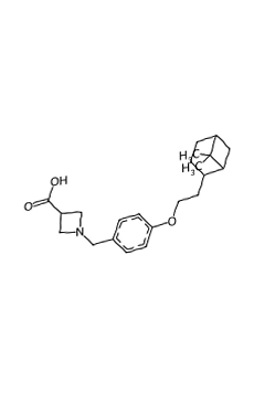 CC1(C)C2CCC(CCOc3ccc(CN4CC(C(=O)O)C4)cc3)C1C2